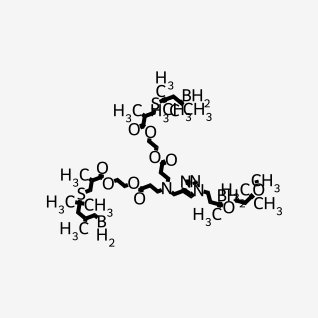 BCC(C)CC(C)(C)SCC(C)C(=O)OCCOC(=O)CCN(CCC(=O)OCCOC(=O)C(C)CSC(C)(C)CC(B)(C)C)Cc1cn(CCC(B)(C)OCCC(C)(C)OC)nn1